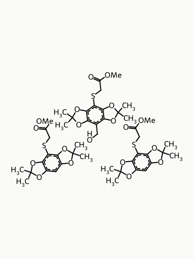 COC(=O)CSc1c2c(c(CO)c3c1OC(C)(C)O3)OC(C)(C)O2.COC(=O)CSc1c2c(cc3c1OC(C)(C)O3)OC(C)(C)O2.COC(=O)CSc1c2c(cc3c1OC(C)(C)O3)OC(C)(C)O2